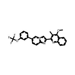 COc1c(C)c(-c2cn3cc(-c4cccc(OC(F)(F)F)c4)ccc3n2)nc2ccccc12